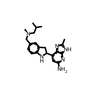 Cc1nc2c(C3Cc4cc(CN(C)CC(C)C)ccc4N3)cc(N)nc2[nH]1